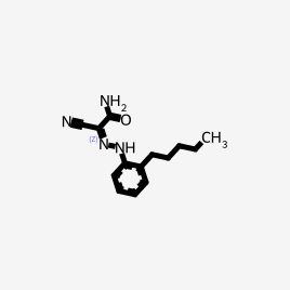 CCCCCc1ccccc1N/N=C(/C#N)C(N)=O